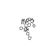 CC1(C)c2cc(-c3nc(-c4ccccc4)nc(-c4ccc(-c5ccccc5)cc4)n3)ccc2-c2c(-c3ccccc3)cccc2C1(C)C